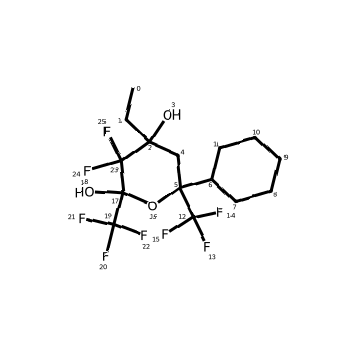 CCC1(O)CC(C2CCCCC2)(C(F)(F)F)OC(O)(C(F)(F)F)C1(F)F